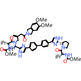 C=C(CC(=O)N1Cc2cc(OC)c(OC)cc2C1)CN(C(=O)[C@@H](NC(=O)OC)C(C)C)C(CC)c1nc(-c2ccc(-c3ccc(-c4c[nH]c([C@@H]5CCCN5C(=O)[C@@H](NC(=O)OC)C(C)C)n4)cc3)cc2)c[nH]1